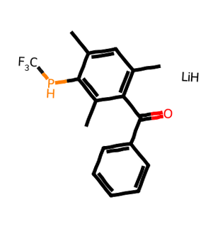 Cc1cc(C)c(C(=O)c2ccccc2)c(C)c1PC(F)(F)F.[LiH]